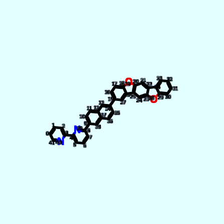 c1ccc(-c2cccc(-c3ccc4cc(-c5ccc6oc7cc8c(cc7c6c5)oc5ccccc58)ccc4c3)n2)nc1